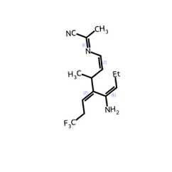 CC/C=C(N)\C(=C/CC(F)(F)F)C(C)/C=C\N=C(/C)C#N